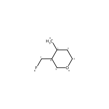 CC1CCOCC1CF